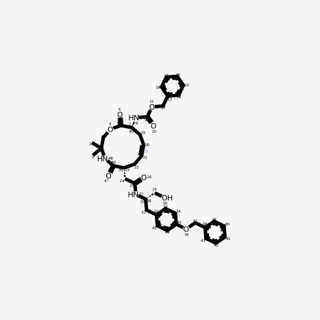 CC1(C)COC(=O)[C@H](NC(=O)OCc2ccccc2)C/C=C\C[C@H](CC(=O)N[C@H](CO)Cc2ccc(OCc3ccccc3)cc2)C(=O)N1